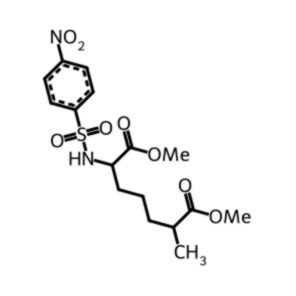 COC(=O)C(C)CCCC(NS(=O)(=O)c1ccc([N+](=O)[O-])cc1)C(=O)OC